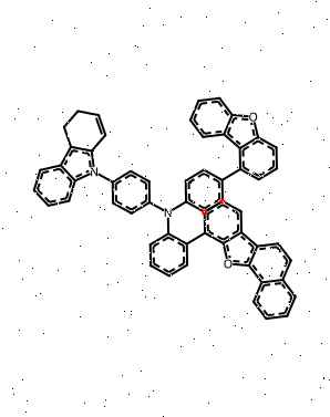 C1=Cc2c(c3ccccc3n2-c2ccc(N(c3ccc(-c4cccc5oc6ccccc6c45)cc3)c3ccccc3-c3cccc4c3oc3c5ccccc5ccc43)cc2)CC1